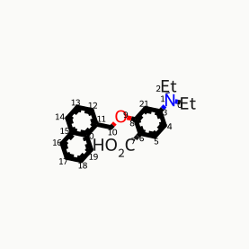 CCN(CC)c1ccc(C(=O)O)c(OCc2cccc3ccccc23)c1